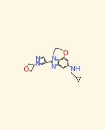 c1nn(C2COC2)cc1-c1nc2cc(NCC3CC3)cc3c2n1CCCO3